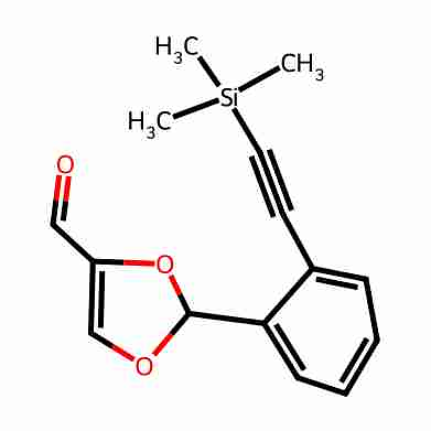 C[Si](C)(C)C#Cc1ccccc1C1OC=C(C=O)O1